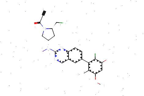 C#CC(=O)N1C[C@@H](N(I)c2ncc3cc(-c4c(C)c(OC)cc(O)c4Cl)ccc3n2)C[C@@H]1CBr